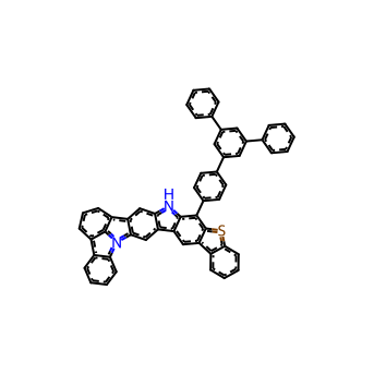 c1ccc(-c2cc(-c3ccccc3)cc(-c3ccc(-c4c5[nH]c6cc7c8cccc9c%10ccccc%10n(c7cc6c5cc5c4sc4ccccc45)c98)cc3)c2)cc1